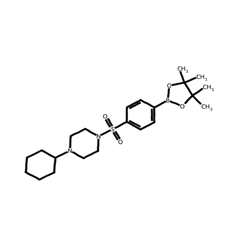 CC1(C)OB(c2ccc(S(=O)(=O)N3CCN(C4CCCCC4)CC3)cc2)OC1(C)C